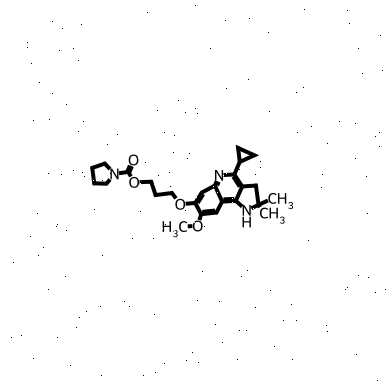 COc1cc2c3c(c(C4CC4)nc2cc1OCCCOC(=O)N1CCCC1)CC(C)(C)N3